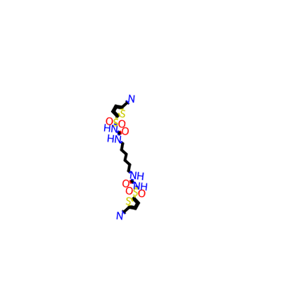 N#Cc1ccc(S(=O)(=O)NC(=O)NCCCCCCNC(=O)NS(=O)(=O)c2ccc(C#N)s2)s1